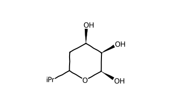 CC(C)C1C[C@@H](O)[C@@H](O)[C@@H](O)O1